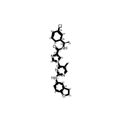 Cc1cnc(Nc2ccc3c(c2)CCO3)nc1-n1cnc(C(=O)N[C@H](C)C2C=C(Cl)C=CC2)c1